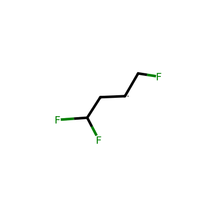 FC[CH]CC(F)F